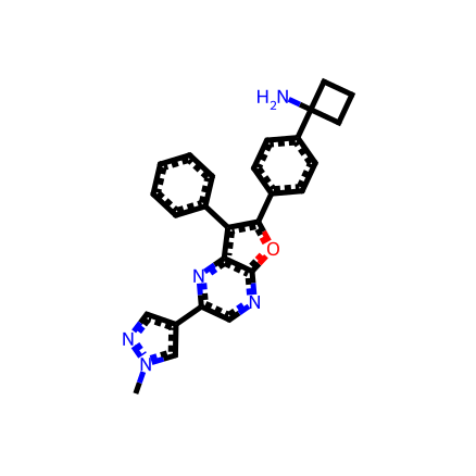 Cn1cc(-c2cnc3oc(-c4ccc(C5(N)CCC5)cc4)c(-c4ccccc4)c3n2)cn1